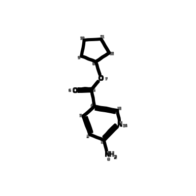 Nc1ccc(C(=O)OC2CCCC2)cn1